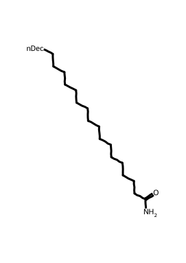 CCCCCCCCCCCCCCCCCCCCCCCCCCC(N)=O